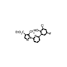 CCOC(=O)c1cnn(-c2cccc(-c3cc(F)cc(Cl)c3O)n2)c1C(F)(F)F